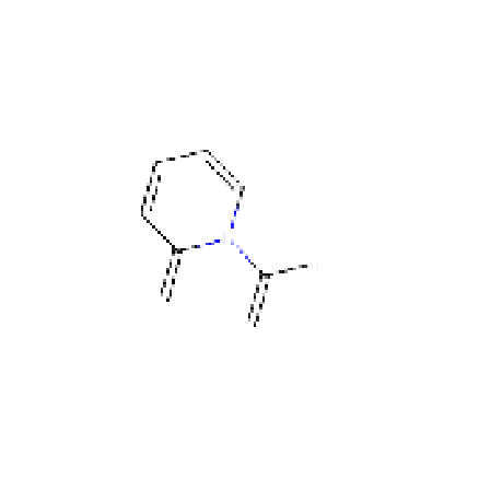 C=C1C=CC=CN1C(=C)C(C)C